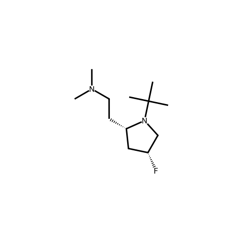 CN(C)CC[C@H]1C[C@@H](F)CN1C(C)(C)C